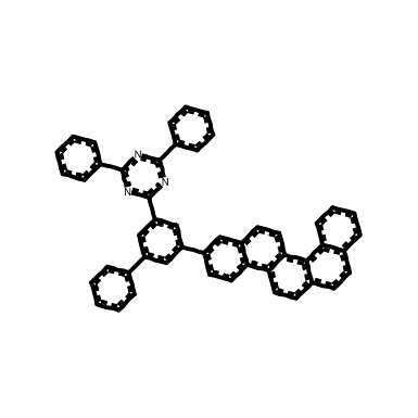 c1ccc(-c2cc(-c3ccc4c(ccc5c4ccc4ccc6ccccc6c45)c3)cc(-c3nc(-c4ccccc4)nc(-c4ccccc4)n3)c2)cc1